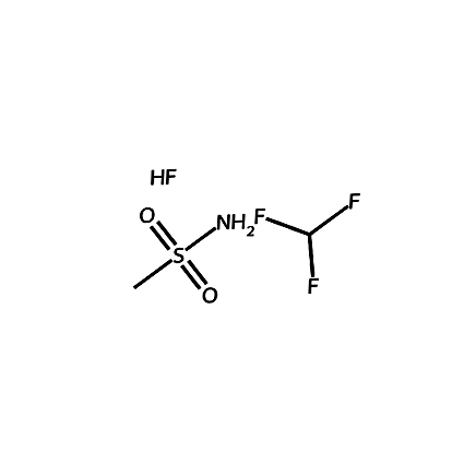 CS(N)(=O)=O.F.FC(F)F